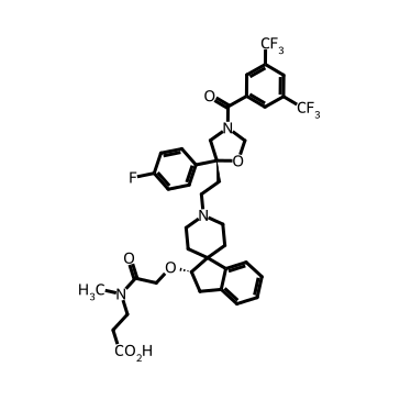 CN(CCC(=O)O)C(=O)CO[C@H]1Cc2ccccc2C12CCN(CC[C@@]1(c3ccc(F)cc3)CN(C(=O)c3cc(C(F)(F)F)cc(C(F)(F)F)c3)CO1)CC2